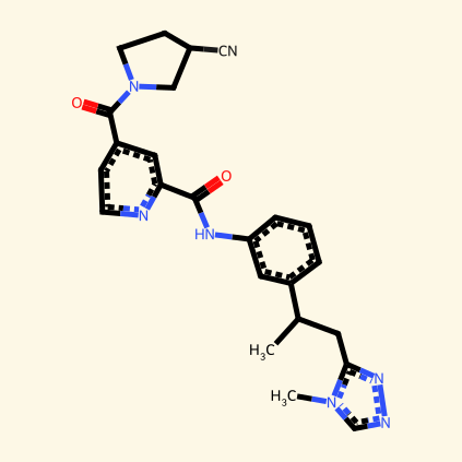 CC(Cc1nncn1C)c1cccc(NC(=O)c2cc(C(=O)N3CCC(C#N)C3)ccn2)c1